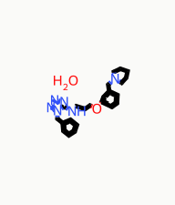 O.c1ccc(Cn2nnnc2NCCCOc2cccc(CN3CCCCC3)c2)cc1